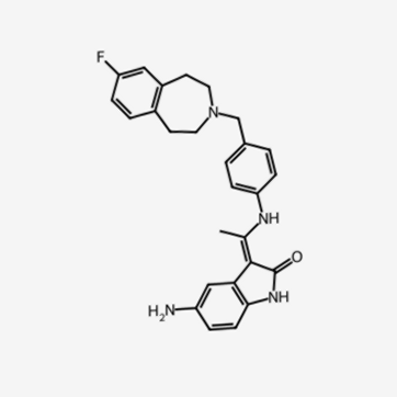 CC(Nc1ccc(CN2CCc3ccc(F)cc3CC2)cc1)=C1C(=O)Nc2ccc(N)cc21